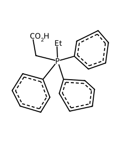 CCP(CC(=O)O)(c1ccccc1)(c1ccccc1)c1ccccc1